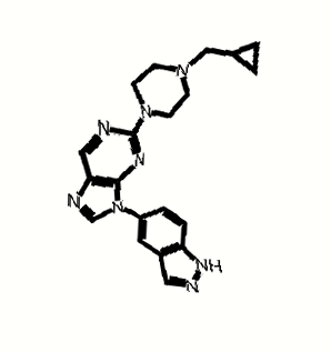 c1cc2[nH]ncc2cc1-n1cnc2cnc(N3CCN(CC4CC4)CC3)nc21